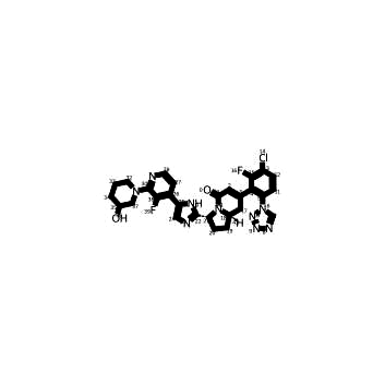 O=C1C=C(c2c(-n3cnnn3)ccc(Cl)c2F)C[C@H]2CC[C@H](c3ncc(-c4ccnc(N5CCCC(O)C5)c4F)[nH]3)N12